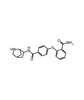 NC(=O)c1ccccc1Sc1ccc(C(=O)NC2CC3CNC2C3)cc1